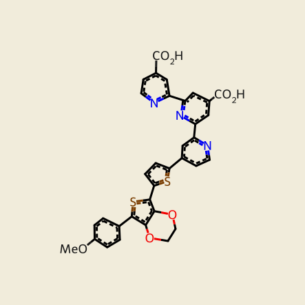 COc1ccc(-c2sc(-c3ccc(-c4ccnc(-c5cc(C(=O)O)cc(-c6cc(C(=O)O)ccn6)n5)c4)s3)c3c2OCCO3)cc1